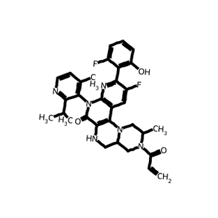 C=CC(=O)N1CC2CNc3c(c4cc(F)c(-c5c(O)cccc5F)nc4n(-c4c(C)ccnc4C(C)C)c3=O)N2CC1C